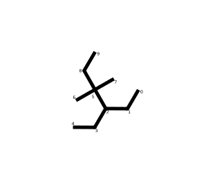 [CH2]CC(CC)C(C)(C)CC